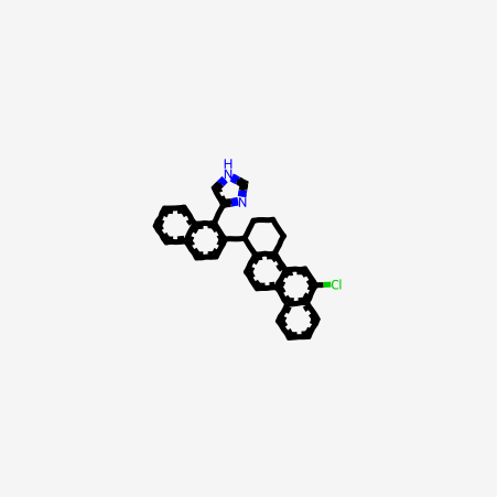 Clc1cc2c3c(ccc2c2ccccc12)C(c1ccc2ccccc2c1-c1c[nH]cn1)CCC3